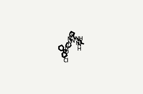 Cc1cc(Nc2nc(N3CCN(C(=O)C4(c5ccc(Cl)cc5)CCCCC4)CC3)nn3cccc23)n[nH]1